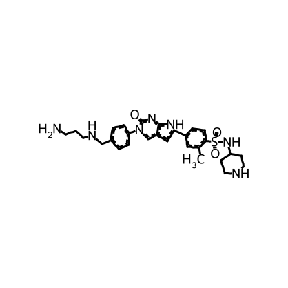 Cc1cc(-c2cc3cn(-c4ccc(CNCCCN)cc4)c(=O)nc3[nH]2)ccc1S(=O)(=O)NC1CCNCC1